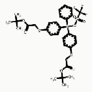 CC(C)(C)OC(=O)COc1ccc(S(OS(=O)(=O)C(F)(F)F)(c2ccccc2)c2ccc(OCC(=O)OC(C)(C)C)cc2)cc1